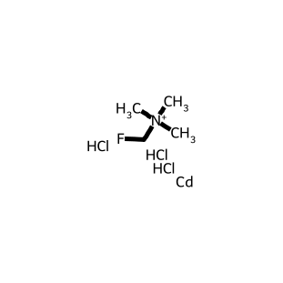 C[N+](C)(C)CF.Cl.Cl.Cl.[Cd]